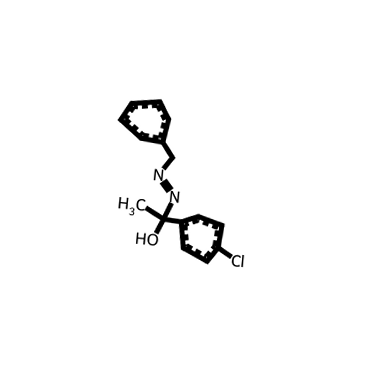 CC(O)(N=NCc1ccccc1)c1ccc(Cl)cc1